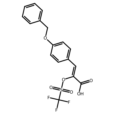 O=C(O)C(=Cc1ccc(OCc2ccccc2)cc1)OS(=O)(=O)C(F)(F)F